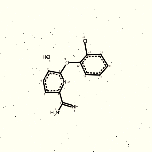 Cl.N=C(N)c1cccc(Oc2ccccc2Cl)n1